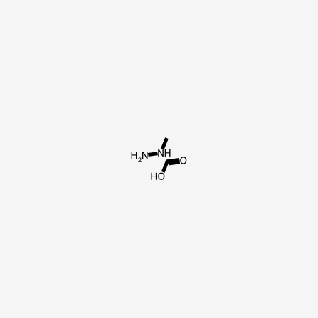 CNN.O=CO